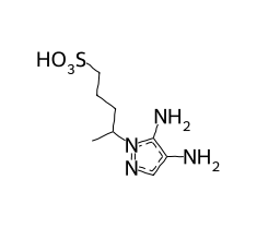 CC(CCCS(=O)(=O)O)n1ncc(N)c1N